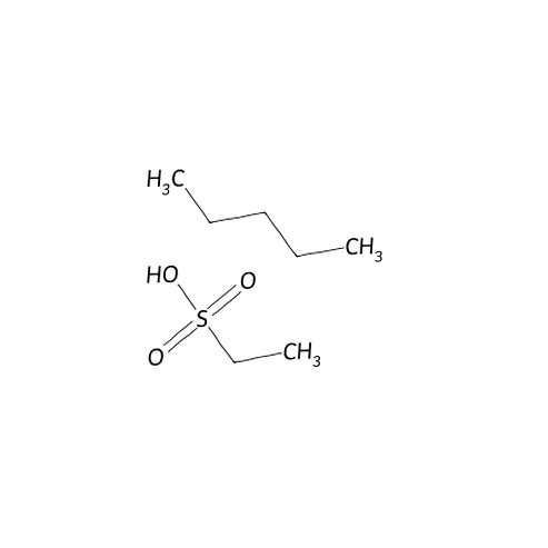 CCCCC.CCS(=O)(=O)O